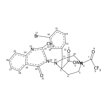 COC(=O)C12CCN(C(=O)C(F)(F)F)CC1(c1cccc(Br)c1)N2n1c(C)nc2ccccc2c1=O